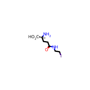 N[C@@H](CCC(=O)NCCI)C(=O)O